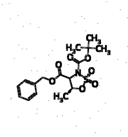 C[C@@H]1OS(=O)(=O)N(C(=O)OC(C)(C)C)C1C(=O)OCc1ccccc1